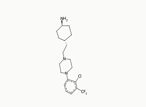 N[C@H]1CC[C@H](CCN2CCN(c3cccc(C(F)(F)F)c3Cl)CC2)CC1